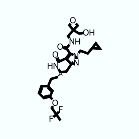 CC(F)(F)COc1cccc(CC[C@H]2Cc3nn(CCC4CC4)c(C(=O)NCC4(CO)COC4)c3C(=O)N2)c1